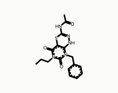 CCCn1c(=O)c2c(n(Cc3ccccc3)c1=O)NN=C(NC(C)=O)S2